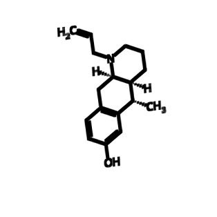 C=CCN1CCC[C@H]2[C@H](C)c3cc(O)ccc3C[C@H]21